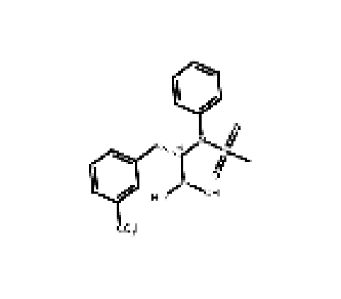 CS(=O)(=O)N(c1ccccc1)[C@@H](Cc1cccc(C(=O)O)c1)B(O)O